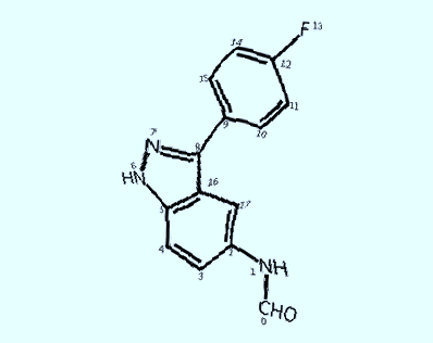 O=CNc1ccc2[nH]nc(-c3ccc(F)cc3)c2c1